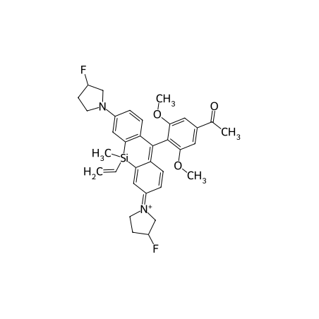 C=C[Si]1(C)C2=C/C(=[N+]3\CCC(F)C3)C=CC2=C(c2c(OC)cc(C(C)=O)cc2OC)c2ccc(N3CCC(F)C3)cc21